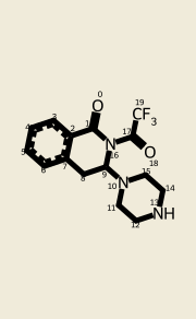 O=C1c2ccccc2CC(N2CCNCC2)N1C(=O)C(F)(F)F